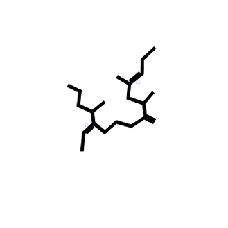 C=C(CCC/C(=C\C)C(C)CCC)C(C)C/C(C)=C/CC